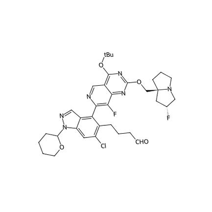 CC(C)(C)Oc1nc(OC[C@@]23CCCN2C[C@H](F)C3)nc2c(F)c(-c3c(CCCC=O)c(Cl)cc4c3cnn4C3CCCCO3)ncc12